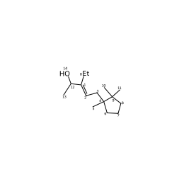 CC/C(=C\CC1(C)CCCC1(C)C)C(C)O